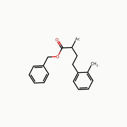 CC(=O)C(CCc1ccccc1C)C(=O)OCc1ccccc1